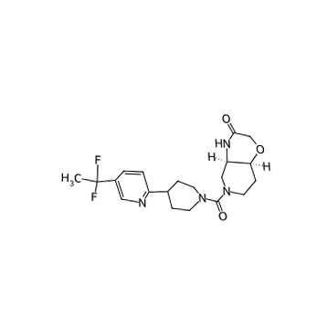 CC(F)(F)c1ccc(C2CCN(C(=O)N3CC[C@@H]4OCC(=O)N[C@@H]4C3)CC2)nc1